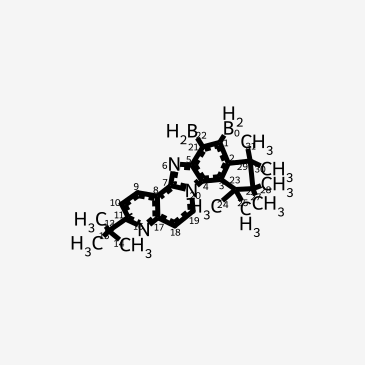 Bc1c2c(c3c(nc4c5ccc(C(C)(C)C)nc5ccn43)c1B)C(C)(C)C(C)(C)C2(C)C